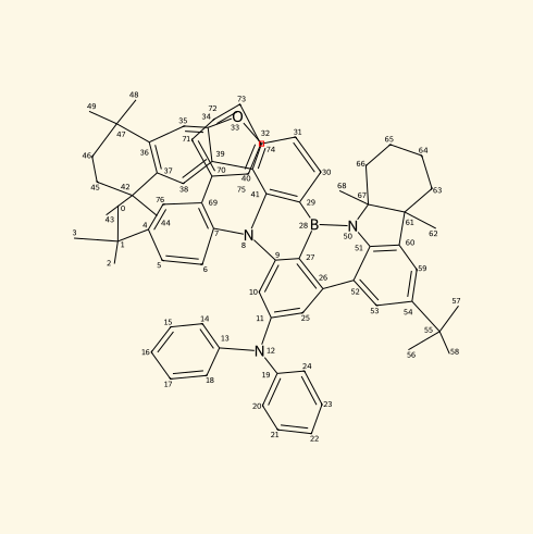 CC(C)(C)c1ccc(N2c3cc(N(c4ccccc4)c4ccccc4)cc4c3B(c3ccc5oc6cc7c(cc6c5c32)C(C)(C)CCC7(C)C)N2c3c-4cc(C(C)(C)C)cc3C3(C)CCCCC23C)c(-c2ccccc2)c1